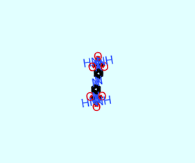 O=c1[nH]c(=O)n(-c2ccc(/N=N/c3ccc(-n4c(=O)[nH]c(=O)[nH]c4=O)cc3)cc2)c(=O)[nH]1